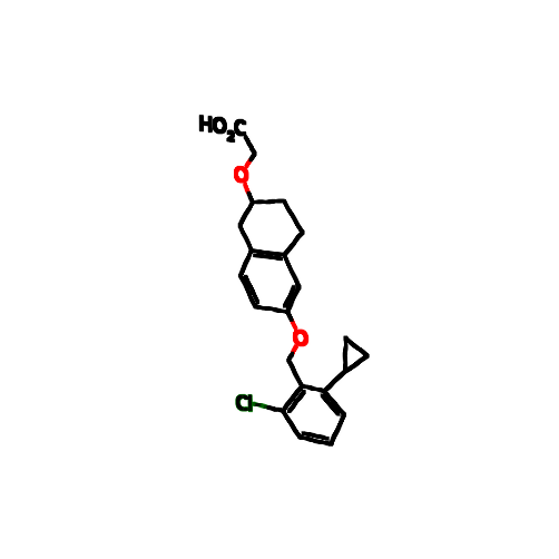 O=C(O)COC1CCc2cc(OCc3c(Cl)cccc3C3CC3)ccc2C1